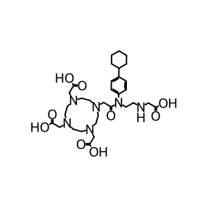 O=C(O)CNCCN(C(=O)CN1CCN(CC(=O)O)CCN(CC(=O)O)CCN(CC(=O)O)CC1)c1ccc(C2CCCCC2)cc1